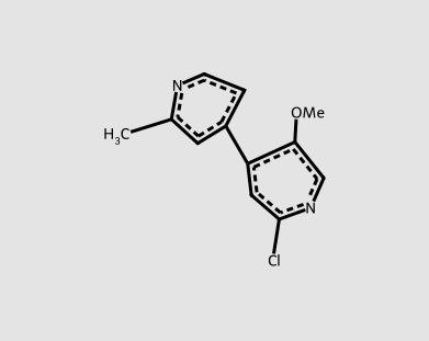 COc1cnc(Cl)cc1-c1ccnc(C)c1